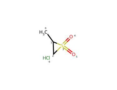 CC1CS1(=O)=O.Cl